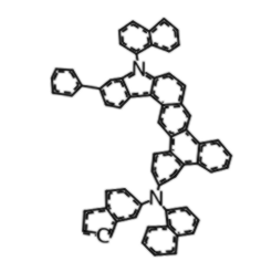 c1ccc(-c2ccc3c4c5cc6c7ccc(N(c8ccc9ccccc9c8)c8cccc9ccccc89)cc7c7ccccc7c6cc5ccc4n(-c4cccc5ccccc45)c3c2)cc1